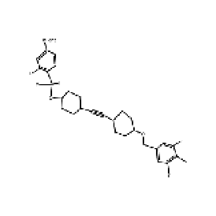 CCCCCc1ccc(C(F)(F)OC2CCC(C#CC3CCC(OCc4cc(F)c(F)c(F)c4)CC3)CC2)c(F)c1